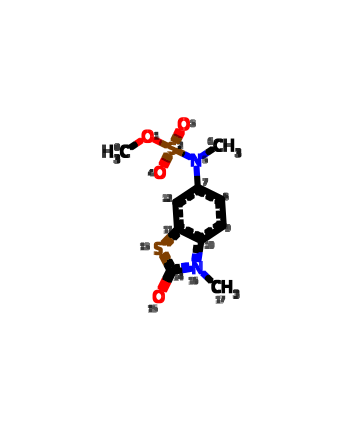 COS(=O)(=O)N(C)c1ccc2c(c1)sc(=O)n2C